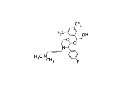 CN(C)CC#CCN1CCOC(O[C@H](CO)c2cc(C(F)(F)F)cc(C(F)(F)F)c2)C1c1ccc(F)cc1